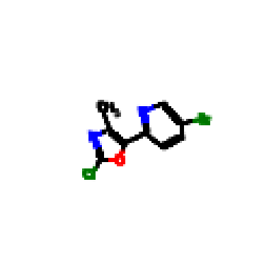 Cc1nc(Cl)oc1-c1ccc(Br)cn1